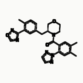 Cc1cc(C(=O)N2CCOCC2Cc2ccc(C)c(-c3ncon3)c2)c(-n2nccn2)cc1C